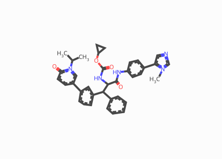 CC(C)n1cc(-c2cccc(C(c3ccccc3)C(NC(=O)OC3CC3)C(=O)Nc3ccc(-c4cncn4C)cc3)c2)ccc1=O